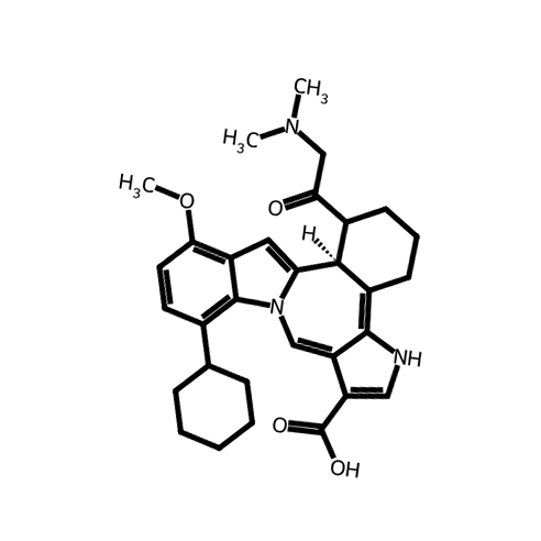 COc1ccc(C2CCCCC2)c2c1cc1n2C=c2c(C(=O)O)c[nH]c2=C2CCCC(C(=O)CN(C)C)[C@@H]21